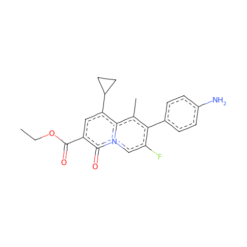 CCOC(=O)c1cc(C2CC2)c2c(C)c(-c3ccc(N)cc3)c(F)cn2c1=O